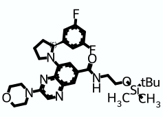 CC(C)(C)[Si](C)(C)OCCNC(=O)c1cc(N2CCC[C@H]2c2cc(F)cc(F)c2)c2nc(N3CCOCC3)cnc2c1